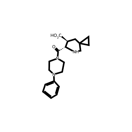 O=C(O)[C@H]1CC2(CC2)CN[C@@H]1C(=O)N1CCN(c2ccccc2)CC1